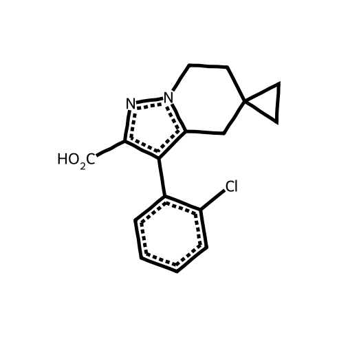 O=C(O)c1nn2c(c1-c1ccccc1Cl)CC1(CC2)CC1